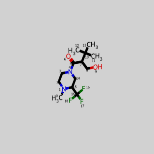 CN1CCN(C(=O)C(CO)C(C)(C)C)CC1C(F)(F)F